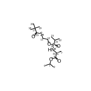 CC(C)OC(=O)[C@H](C)NP(=O)(OCCSC(=O)C(C)(C)C)C(C)C